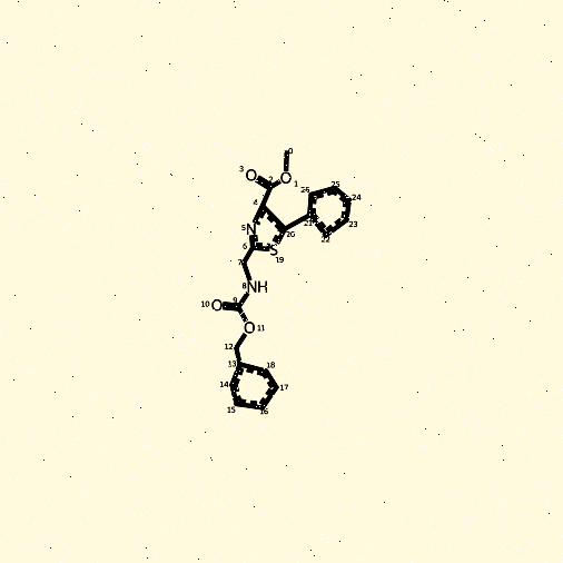 COC(=O)c1nc(CNC(=O)OCc2ccccc2)sc1-c1ccccc1